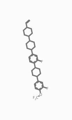 C=CC1CCC(C2CCC(c3ccc(C4CCC(c5ccc(OC(F)(F)F)c(F)c5)CC4)c(F)c3)CC2)CC1